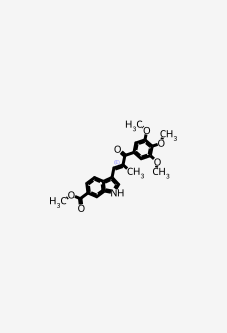 COC(=O)c1ccc2c(/C=C(\C)C(=O)c3cc(OC)c(OC)c(OC)c3)c[nH]c2c1